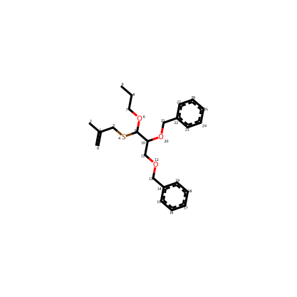 C=C(C)CSC(OCCC)C(COCc1ccccc1)OCc1ccccc1